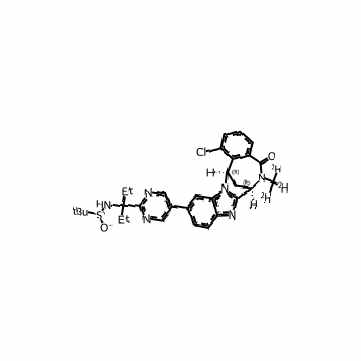 [2H]C([2H])([2H])N1C(=O)c2cccc(Cl)c2[C@H]2C[C@@H]1c1nc3ccc(-c4cnc(C(CC)(CC)N[S+]([O-])C(C)(C)C)nc4)cc3n12